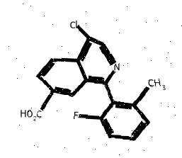 Cc1cccc(F)c1-c1ncc(Cl)c2ccc(C(=O)O)cc12